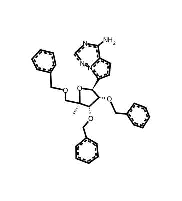 C[C@]1(COCc2ccccc2)O[C@@H](c2ccc3c(N)ncnn23)[C@H](OCc2ccccc2)[C@@H]1OCc1ccccc1